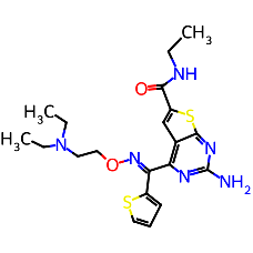 CCNC(=O)c1cc2c(C(=NOCCN(CC)CC)c3cccs3)nc(N)nc2s1